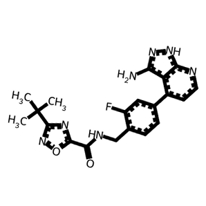 CC(C)(C)c1noc(C(=O)NCc2ccc(-c3ccnc4[nH]nc(N)c34)cc2F)n1